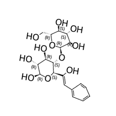 OC[C@H]1O[C@H](O[C@H]2[C@H](O)[C@@H](O)[C@H](O)O[C@@H]2C(O)=Cc2ccccc2)[C@H](O)[C@@H](O)[C@@H]1O